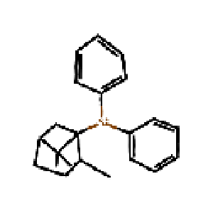 CC1CCC2CC1([S+](c1ccccc1)c1ccccc1)C2(C)C